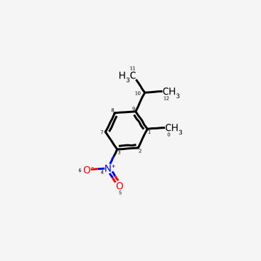 Cc1cc([N+](=O)[O-])ccc1C(C)C